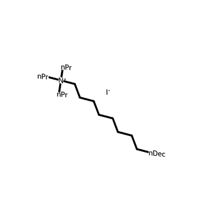 CCCCCCCCCCCCCCCCCC[N+](CCC)(CCC)CCC.[I-]